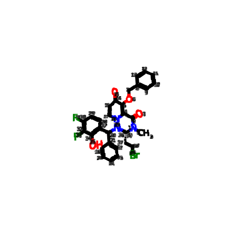 CN1C(=O)c2c(OCc3ccccc3)c(=O)ccn2N(C(c2ccccc2)c2ccc(F)c(F)c2O)[C@H]1CCBr